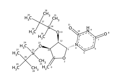 C=C1O[C@@H](n2ccc(=O)[nH]c2=O)[C@H](O[Si](C)(C)C(C)(C)C)[C@@H]1O[Si](C)(C)C(C)(C)C